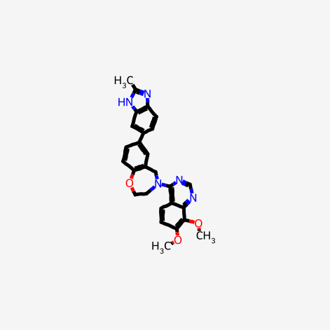 COc1ccc2c(N3CCOc4ccc(-c5ccc6nc(C)[nH]c6c5)cc4C3)ncnc2c1OC